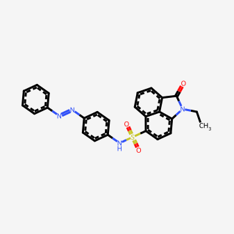 CCN1C(=O)c2cccc3c(S(=O)(=O)Nc4ccc(/N=N/c5ccccc5)cc4)ccc1c23